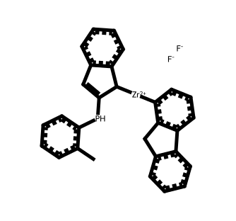 Cc1ccccc1PC1=Cc2ccccc2[CH]1[Zr+2][c]1cccc2c1Cc1ccccc1-2.[F-].[F-]